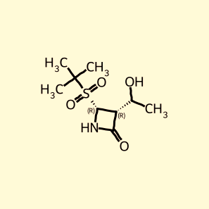 CC(O)[C@@H]1C(=O)N[C@@H]1S(=O)(=O)C(C)(C)C